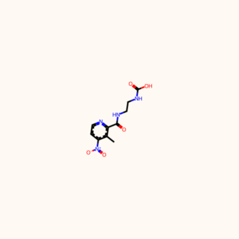 Cc1c([N+](=O)[O-])ccnc1C(=O)NCCNC(=O)O